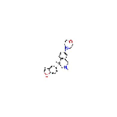 CN1Cc2cc(N3CCOCC3)ccc2C(C)(c2ccc3occc3c2)C1